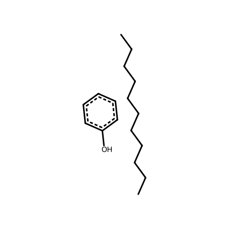 CCCCCCCCCCC.Oc1ccccc1